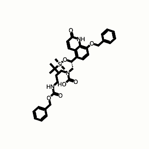 CC(C)(C)[Si](C)(C)O[C@@H](CN(CCCNC(=O)OCc1ccccc1)C(=O)O)c1ccc(OCc2ccccc2)c2[nH]c(=O)ccc12